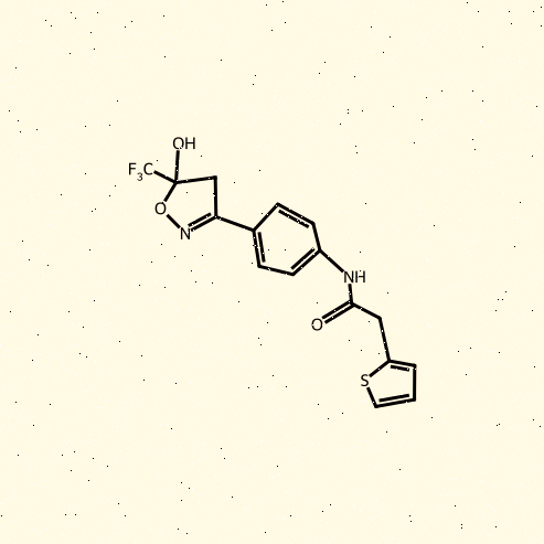 O=C(Cc1cccs1)Nc1ccc(C2=NOC(O)(C(F)(F)F)C2)cc1